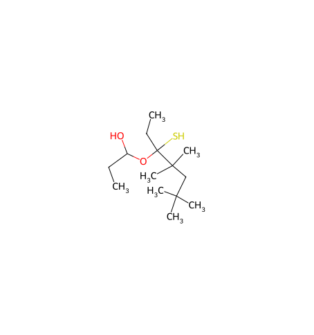 CCC(O)OC(S)(CC)C(C)(C)CC(C)(C)C